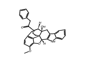 COc1ccc2c3c1O[C@H]1c4[nH]c5ccccc5c4C[C@@]4(O)[C@@H](C2)N(C(=O)Cc2ccccc2)CC[C@]314